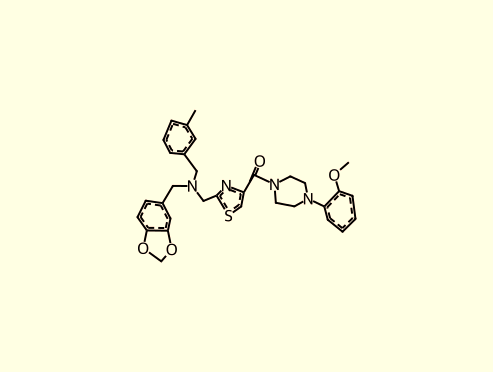 COc1ccccc1N1CCN(C(=O)c2csc(CN(Cc3cccc(C)c3)Cc3ccc4c(c3)OCO4)n2)CC1